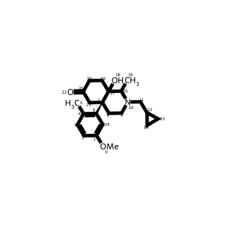 COc1ccc(C)c([C@]23CCN(CC4CC4)C(C)C2(O)CCC(=O)C3)c1